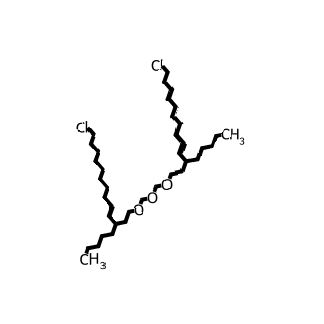 CCCCCC(C=CCCCCCCCCCl)CCOCOCOCCC(C=CCCCCCCCCCl)CCCCC